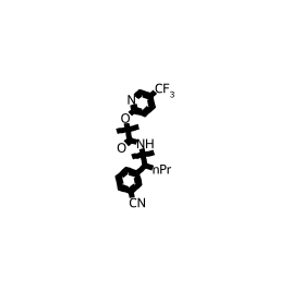 CCCC(c1cccc(C#N)c1)C(C)(C)NC(=O)C(C)(C)Oc1ccc(C(F)(F)F)cn1